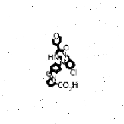 O=C(O)c1cccc(Oc2ccc(/N=c3\[nH]cc(C4CCOCC4)c(=O)n3Cc3ccc(Cl)cc3)cc2)n1